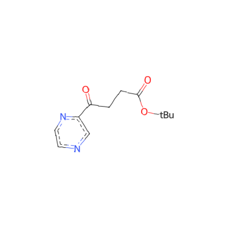 CC(C)(C)OC(=O)CCC(=O)c1cnccn1